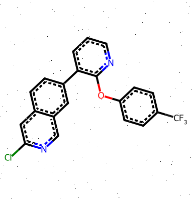 FC(F)(F)c1ccc(Oc2ncccc2-c2ccc3cc(Cl)ncc3c2)cc1